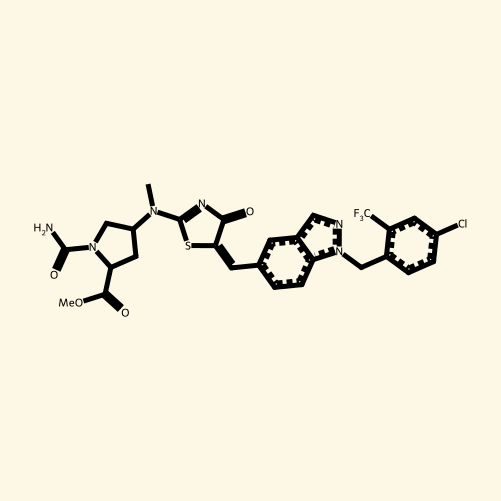 COC(=O)C1CC(N(C)C2=NC(=O)C(=Cc3ccc4c(cnn4Cc4ccc(Cl)cc4C(F)(F)F)c3)S2)CN1C(N)=O